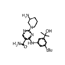 CC(C)(C)c1cc(Nc2nc(N3CCCC(N)C3)ncc2C(N)=O)cc(C(C)(C)O)c1